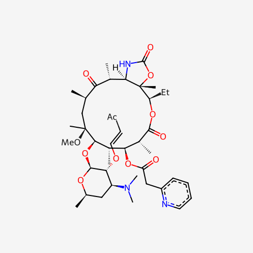 CC[C@H]1OC(=O)[C@H](C)[C@@H](OC(=O)Cc2ccccn2)[C@H](C)[C@@H](O[C@@H]2O[C@H](C)C[C@H](N(C)C)[C@H]2O/C=C/C(C)=O)[C@@](C)(OC)C[C@@H](C)C(=O)[C@H](C)[C@H]2NC(=O)O[C@@]21C